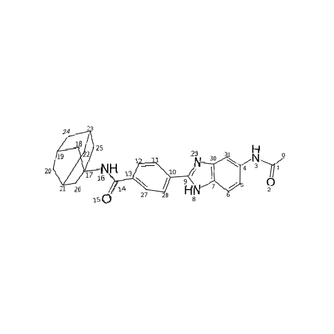 CC(=O)Nc1ccc2[nH]c(-c3ccc(C(=O)NC45CC6CC(CC(C6)C4)C5)cc3)nc2c1